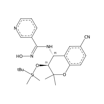 CC1(C)Oc2ccc(C#N)cc2[C@@H](NC(=NO)c2cccnc2)[C@@H]1O[Si](C)(C)C(C)(C)C